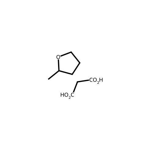 CC1CCCO1.O=C(O)CC(=O)O